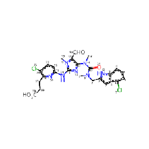 CN(Cc1cc2c(Cl)cccc2[nH]1)C(=O)N(C)c1nc(Nc2ccc(Cl)c(CCC(=O)O)n2)n(C)c1C=O